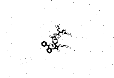 CCCOc1c(C2(C(=O)OC(c3ccccc3)c3ccccc3)CS[C@@H]3C(NC(=O)C(=NOC)c4csc(N)n4)C(=O)N3C2)c(=O)c1=O